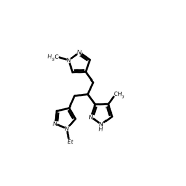 CCn1cc(C[C](Cc2cnn(C)c2)c2n[nH]cc2C)cn1